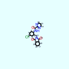 O=C(Nc1ccc(Cl)cc1CN1C(=O)c2ccccc2C1=O)c1ncccn1